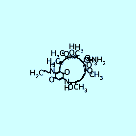 C=CCNC1=C2C[C@@H](C)C[C@H](OC)[C@H](O)[C@@H](C)C=C(C)[C@H](OC(N)=O)[C@H](OC)C=CC=C(C)C(=O)NC(=CC1=O)C2=O